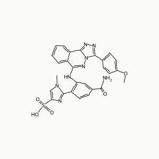 COc1ccc(-c2nnc3c4ccccc4c(Nc4cc(C(N)=O)ccc4-c4nc(S(=O)(=O)O)cn4C)nn23)cc1